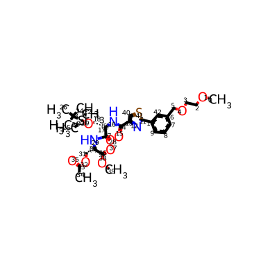 COCCOCc1cccc(-c2nc(C(=O)N[C@@H](CO[Si](C)(C)C(C)(C)C)C(=O)N[C@@H](COC(C)=O)C(=O)OC)cs2)c1